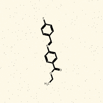 CCOC(=O)c1ccc(N=Cc2ccc(F)cc2)cc1